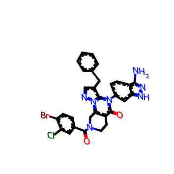 Nc1n[nH]c2cc(-n3c(=O)c4c(n5ncc(Cc6ccccc6)c35)CN(C(=O)c3ccc(Br)c(Cl)c3)CC4)ccc12